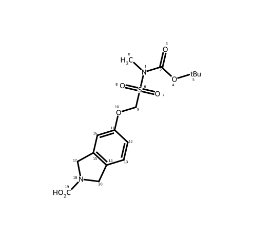 CN(C(=O)OC(C)(C)C)S(=O)(=O)COc1ccc2c(c1)CN(C(=O)O)C2